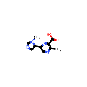 Cc1ncc(-c2cncn2C)nc1C(=O)O